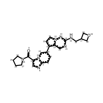 O=C(c1cnc2ccc(-c3ccn4nc(NCC5COC5)ncc34)cn12)N1CCCC1